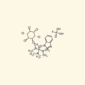 CN(C)[PH](On1nnc2ccccc21)(N(C)C)N(C)C.Cl[C@H]1[C@H](Cl)[C@@H](Cl)[C@@H](Cl)[C@H](Cl)[C@H]1Cl.O=P(O)(O)F